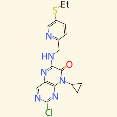 CCSc1ccc(CNc2nc3cnc(Cl)nc3n(C3CC3)c2=O)nc1